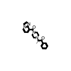 C[C@@H](C(=O)c1ccccc1)N1CCN(C(=O)c2cccn3ccnc23)CC1